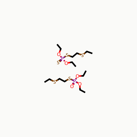 CCOP(=O)(OCC)SCCSCC.CCOP(=S)(OCC)SCCSCC